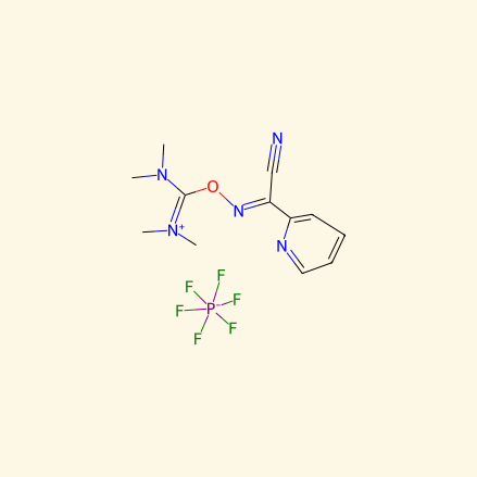 CN(C)C(ON=C(C#N)c1ccccn1)=[N+](C)C.F[P-](F)(F)(F)(F)F